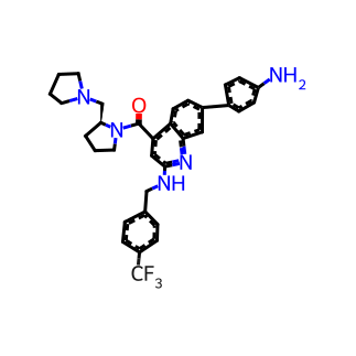 Nc1ccc(-c2ccc3c(C(=O)N4CCC[C@H]4CN4CCCC4)cc(NCc4ccc(C(F)(F)F)cc4)nc3c2)cc1